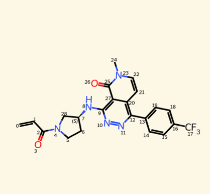 C=CC(=O)N1CC[C@H](Nc2nnc(-c3ccc(C(F)(F)F)cc3)c3ccn(C)c(=O)c23)C1